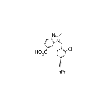 CCCC#Cc1ccc(Cn2c(C)nc3ccc(C(=O)O)cc32)c(Cl)c1